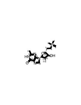 C=P(C)(C)CC[C@H]1O[C@@H](n2cnc3c(=O)[nH]c(C)nc32)[C@H](I)[C@@H]1O